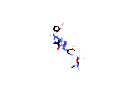 Cc1ncc(C(=O)N2CCC(O)(Cn3cnc4c(cnn4-c4ccc(Br)cc4)c3=O)CC2)o1